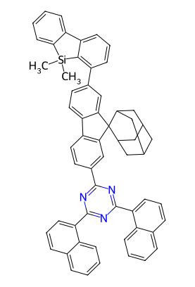 C[Si]1(C)c2ccccc2-c2cccc(-c3ccc4c(c3)C3(c5cc(-c6nc(-c7cccc8ccccc78)nc(-c7cccc8ccccc78)n6)ccc5-4)C4CC5CC(C4)CC3C5)c21